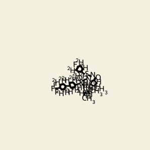 [2H]c1c([2H])c(CSc2nc(=O)c3c(n2C([2H])([2H])C(=O)N(CCN(C([2H])([2H])C)C([2H])([2H])C)C([2H])([2H])c2c([2H])c([2H])c(-c4c([2H])c([2H])c(C(F)(F)F)c([2H])c4[2H])c([2H])c2[2H])C([2H])([2H])C([2H])(C)C3([2H])[2H])c([2H])c([2H])c1F